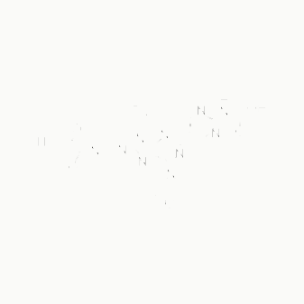 CC(=O)C(=O)N1CCN(c2nc3c(N4CCOCC4)nc(-c4cnc(NC(=O)O)nc4)nc3n2CC(F)(F)F)CC1